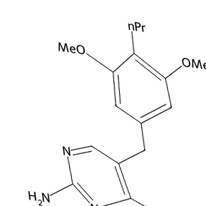 CCCc1c(OC)cc(Cc2cnc(N)nc2N)cc1OC